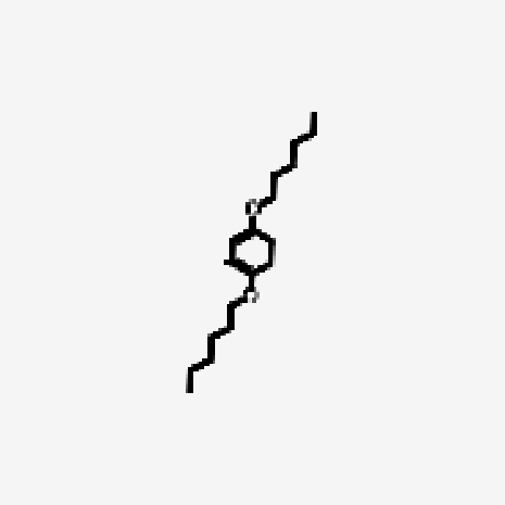 CCCCCCOC1=[C]C=C(OCCCCCC)[C]C1